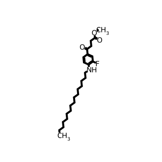 CCCCCCCCCCCCCCCCNc1ccc(C(=O)CCC(=O)OC)cc1F